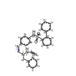 N#CNN(/C=N\c1ccc(NS(=O)(=O)c2ccccc2-c2ccccc2)cc1)Cc1ccccn1